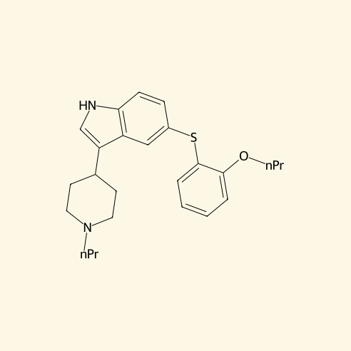 CCCOc1ccccc1Sc1ccc2[nH]cc(C3CCN(CCC)CC3)c2c1